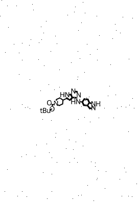 CC(C)(C)OC(=O)N1CCC(c2cc3c(Nc4ccc5[nH]ncc5c4)ncnc3[nH]2)CC1